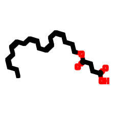 CC/C=C\C/C=C\C/C=C\C/C=C\C/C=C\CCCOC(=O)CCC(=O)O